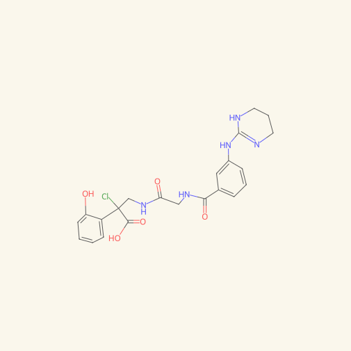 O=C(CNC(=O)c1cccc(NC2=NCCCN2)c1)NCC(Cl)(C(=O)O)c1ccccc1O